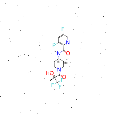 C[C@@H]1CN(C(=O)[C@@](C)(O)C(F)(F)F)CC[C@@H]1N(C)C(=O)c1ncc(F)cc1F